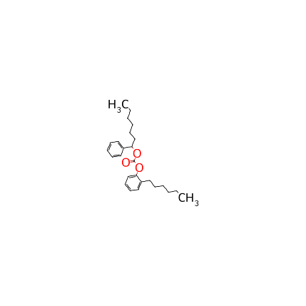 CCCCCCc1ccccc1OC(=O)OC(CCCCCC)c1ccccc1